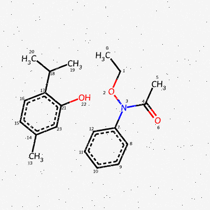 CCON(C(C)=O)c1ccccc1.Cc1ccc(C(C)C)c(O)c1